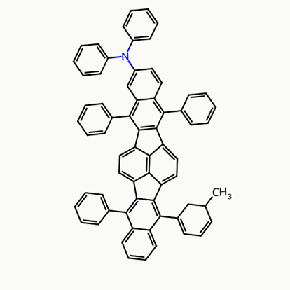 CC1C=CC=C(c2c3c(c(-c4ccccc4)c4ccccc24)-c2ccc4c5c(ccc-3c25)-c2c-4c(-c3ccccc3)c3cc(N(c4ccccc4)c4ccccc4)ccc3c2-c2ccccc2)C1